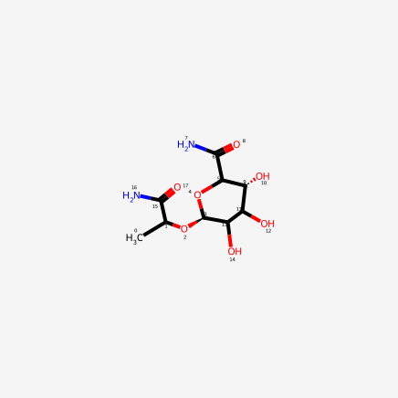 CC(O[C@H]1OC(C(N)=O)[C@H](O)C(O)C1O)C(N)=O